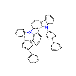 c1ccc(-c2ccc(-c3ccccc3-n3c4ccccc4c4c3ccc3c5ccccc5n(-c5ccc(-c6ccccc6)cc5)c34)cc2)cc1